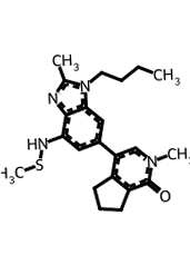 CCCCn1c(C)nc2c(NSC)cc(-c3cn(C)c(=O)c4c3CCC4)cc21